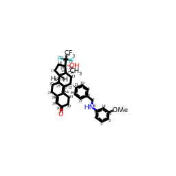 COc1cccc(NCc2ccc([C@H]3C[C@@]4(C)[C@@H](CC[C@@]4(O)C(F)(F)C(F)(F)F)[C@@H]4CCC5=CC(=O)CCC5=C43)cc2)c1